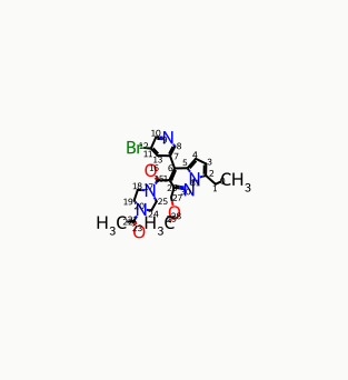 CCc1ccc2c(-c3cncc(Br)c3)c(C(=O)N3CCN(C(C)=O)CC3)c(COC)nn12